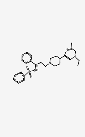 CCN1C=C(C2CCN(CC[C@@H](NS(=O)(=O)c3ccccc3)c3ccccc3)CC2)N=C(C)C1